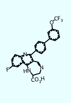 O=C(O)C1CN=Cc2c(-c3ccc(-c4cccc(OC(F)(F)F)c4)cc3)nc3ccc(F)cc3c2N1